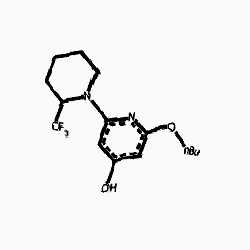 CCCCOc1cc(O)cc(N2CCCCC2C(F)(F)F)n1